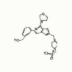 O=[SH](=O)CN1CCN(Cc2cc3cc(-c4cccc(CO)c4)nc(N4CCOCC4)c3s2)CC1